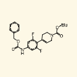 CC(C)(C)OC(=O)N1CC=C(c2c(F)cc(NC(=O)OCc3ccccc3)cc2F)CC1